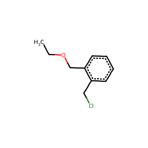 CCOCc1ccccc1CCl